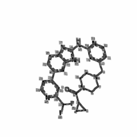 O=C(C1CC1)N1CCN(Cc2ccnc(Nc3nc4ccc(-c5ccnc(C(F)F)c5)cc4[nH]3)c2)CC1